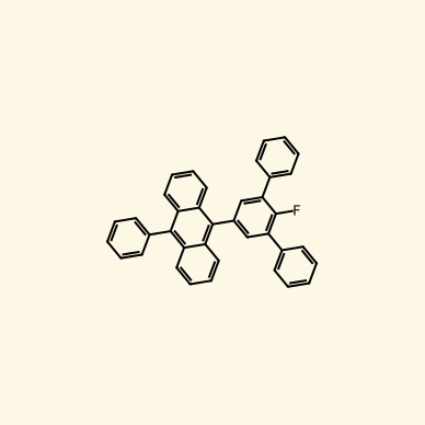 Fc1c(-c2ccccc2)cc(-c2c3ccccc3c(-c3ccccc3)c3ccccc23)cc1-c1ccccc1